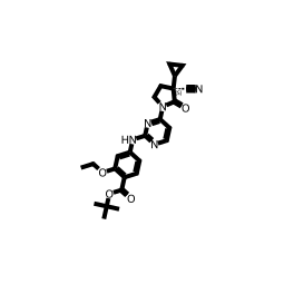 CCOc1cc(Nc2nccc(N3CC[C@@](C#N)(C4CC4)C3=O)n2)ccc1C(=O)OC(C)(C)C